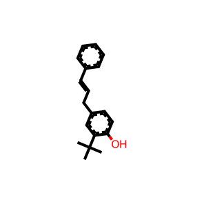 CC(C)(C)c1cc(C/C=C/c2ccccc2)ccc1O